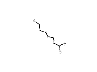 CCN(CC)CCCCCCC(C)C